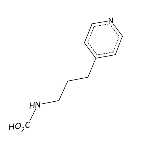 O=C(O)NCCCc1ccncc1